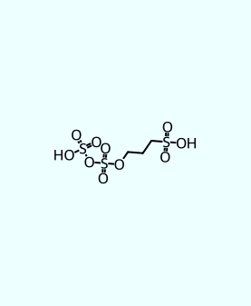 O=S(=O)(O)CCCOS(=O)(=O)OS(=O)(=O)O